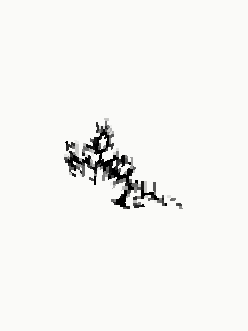 O=C(CCC(F)(F)F)NC(c1cnn2cc([C@@H](NC(=O)c3nonc3Cl)C3CCC(F)(F)CC3)nc2c1)C1CC1